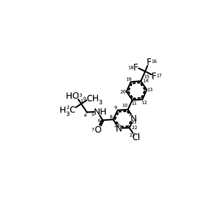 CC(C)(O)CNC(=O)c1cc(-c2ccc(C(F)(F)F)cc2)nc(Cl)n1